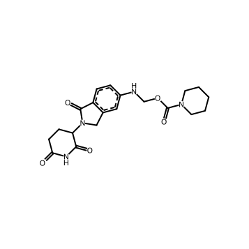 O=C1CCC(N2Cc3cc(NCOC(=O)N4CCCCC4)ccc3C2=O)C(=O)N1